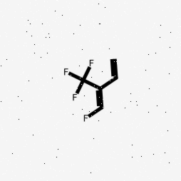 C=C/C(=C/F)C(F)(F)F